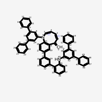 C=C1/C=C\C=C/N(c2cc(-c3ccccc3)cc(-c3ccccc3)c2)c2ccc(-c3cccc(-c4ccccc4Nc4cc(-c5ccccc5)cc(-c5ccccc5)c4)c3)cc21